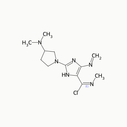 C=Nc1nc(N2CCC(N(C)C)C2)[nH]c1/C(Cl)=N\C